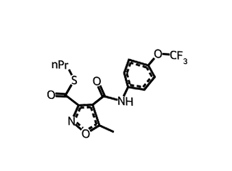 CCCSC(=O)c1noc(C)c1C(=O)Nc1ccc(OC(F)(F)F)cc1